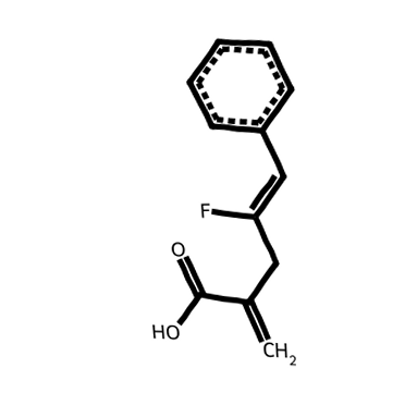 C=C(CC(F)=Cc1ccccc1)C(=O)O